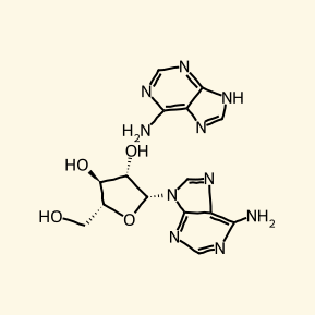 Nc1ncnc2[nH]cnc12.Nc1ncnc2c1ncn2[C@@H]1O[C@H](CO)[C@@H](O)[C@@H]1O